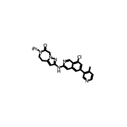 Cc1ccncc1-c1cc(Cl)c2cnc(Nc3cc4n(n3)CC(=O)N(C(C)C)CC4)cc2c1